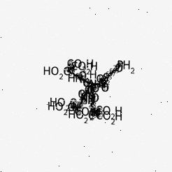 O=C(O)CN(CC(=O)O)C(CCCCNC(=O)CCOCC(COCCC(=O)NCCCCC(C(=O)O)N(CC(=O)O)CC(=O)O)(COCCC(=O)NCCCCC(C(=O)O)N(CC(=O)O)CC(=O)O)NC(=O)CCN1C(=O)CC(SCCCCCCOP)C1=O)C(=O)O